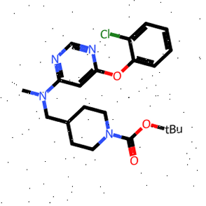 CN(CC1CCN(C(=O)OC(C)(C)C)CC1)c1cc(Oc2ccccc2Cl)ncn1